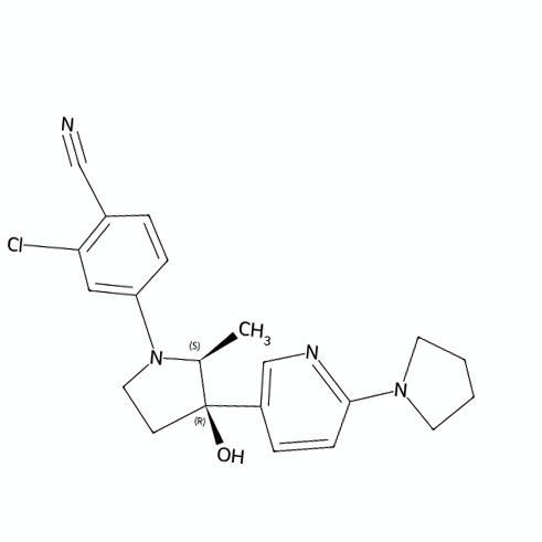 C[C@@H]1N(c2ccc(C#N)c(Cl)c2)CC[C@@]1(O)c1ccc(N2CCCC2)nc1